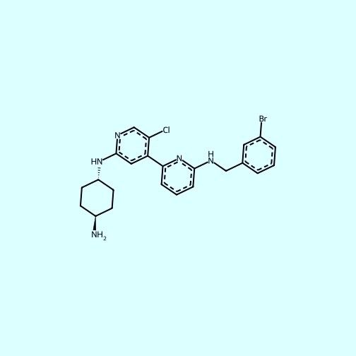 N[C@H]1CC[C@H](Nc2cc(-c3cccc(NCc4cccc(Br)c4)n3)c(Cl)cn2)CC1